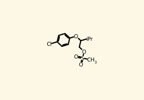 CC(C)C(COS(C)(=O)=O)Oc1ccc(Cl)cc1